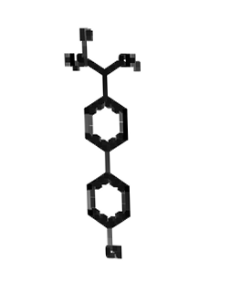 CC[SiH2]C(C)c1ccc(-c2ccc(C#N)cc2)cc1